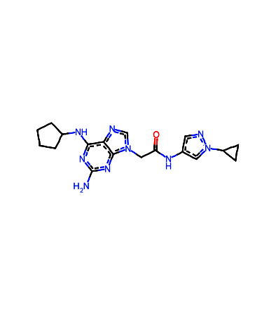 Nc1nc(NC2CCCC2)c2ncn(CC(=O)Nc3cnn(C4CC4)c3)c2n1